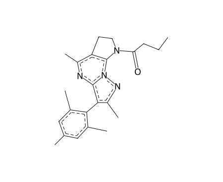 CCCC(=O)N1CCc2c(C)nc3c(-c4c(C)cc(C)cc4C)c(C)nn3c21